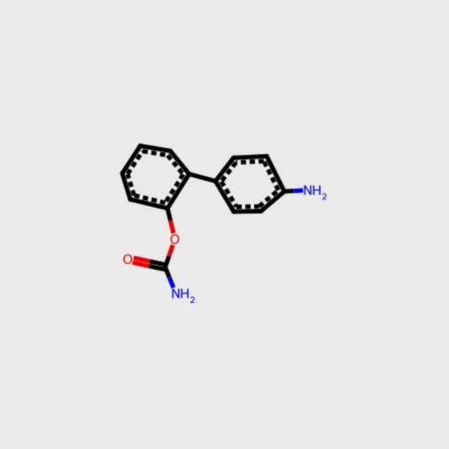 NC(=O)Oc1ccccc1-c1ccc(N)cc1